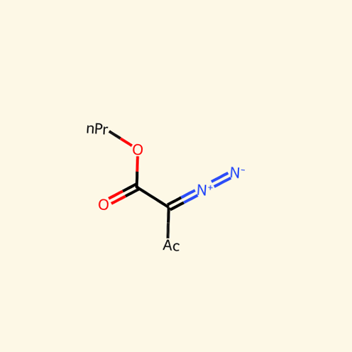 CCCOC(=O)C(=[N+]=[N-])C(C)=O